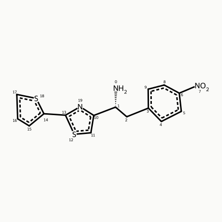 N[C@H](Cc1ccc([N+](=O)[O-])cc1)c1csc(-c2cccs2)n1